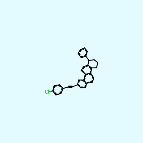 Clc1ccc(C#Cc2ccc3ccc4c5c(ccc4c3c2)C(c2ccccc2)CCC5)cc1